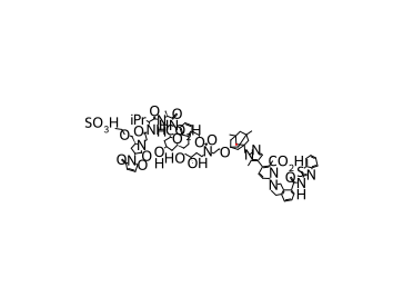 Cc1c(-c2ccc(N3CCc4cccc(C(=O)Nc5nc6ccccc6s5)c4C3)nc2C(=O)O)cnn1CC12CC3(C)CC(C)(C1)CC(OCCN(CC[C@H](O)CO)C(=O)OCc1ccc(NC(=O)[C@H](C)NC(=O)C(NC(=O)CN4C(=O)[C@@H](N5C(=O)C=CC5=O)C[C@H]4COCCS(=O)(=O)O)C(C)C)cc1CC[C@H]1C[C@@H](O)C[C@@H](C(=O)O)O1)(C3)C2